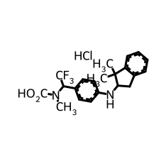 CN(C(=O)O)C(c1ccc(NC2Cc3ccccc3C2(C)C)cc1)C(F)(F)F.Cl